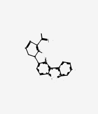 CC(=O)C1=C2Oc3c(ccc4oc5ccccc5c34)C2CC=C1